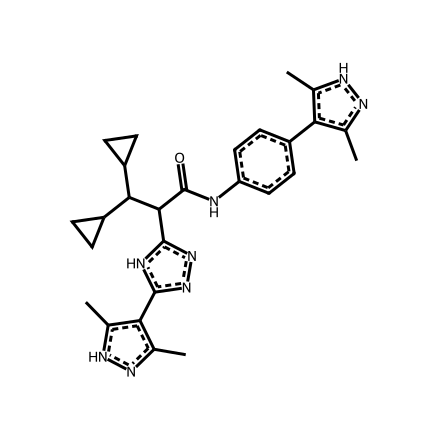 Cc1n[nH]c(C)c1-c1ccc(NC(=O)C(c2nnc(-c3c(C)n[nH]c3C)[nH]2)C(C2CC2)C2CC2)cc1